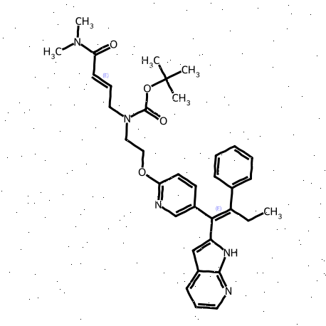 CC/C(=C(/c1ccc(OCCN(C/C=C/C(=O)N(C)C)C(=O)OC(C)(C)C)nc1)c1cc2cccnc2[nH]1)c1ccccc1